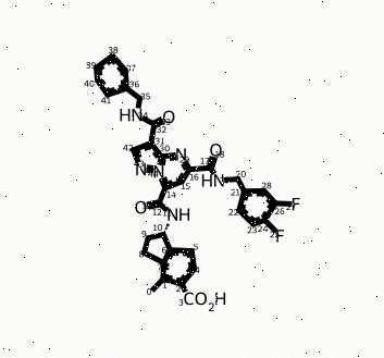 Cc1c(C(=O)O)ccc2c1CC[C@@H]2NC(=O)c1cc(C(=O)NCc2ccc(F)c(F)c2)nc2c(C(=O)NCc3ccccc3)cnn12